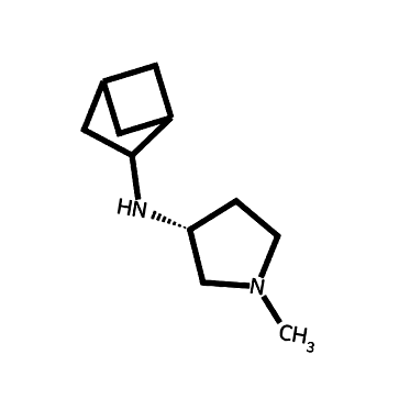 CN1CC[C@@H](NC2CC3CC2C3)C1